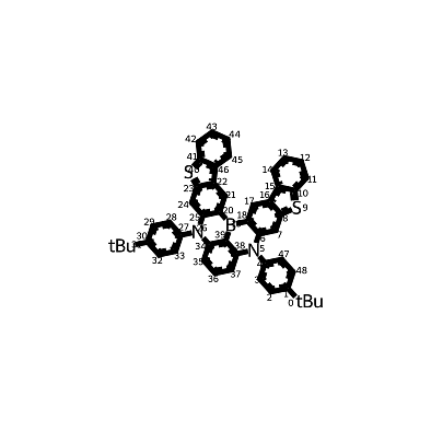 CC(C)(C)c1ccc(N2c3cc4sc5ccccc5c4cc3B3c4cc5c(cc4N(c4ccc(C(C)(C)C)cc4)c4cccc2c43)sc2ccccc25)cc1